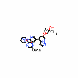 COc1cnc(CN2C3CC2CN(c2ccc(-c4cc(OCC(C)(C)O)cn5nccc45)cn2)C3)cn1